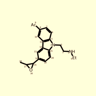 CCNCCn1c2ccc(C(C)=O)cc2c2cc(C3OC3C)ccc21